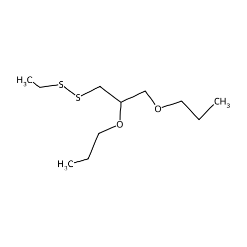 CCCOCC(CSSCC)OCCC